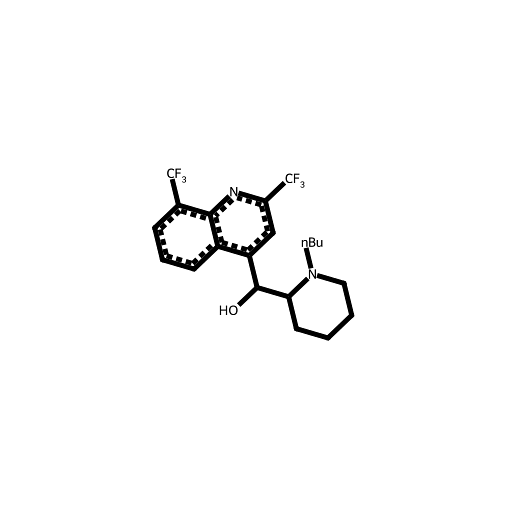 CCCCN1CCCCC1C(O)c1cc(C(F)(F)F)nc2c(C(F)(F)F)cccc12